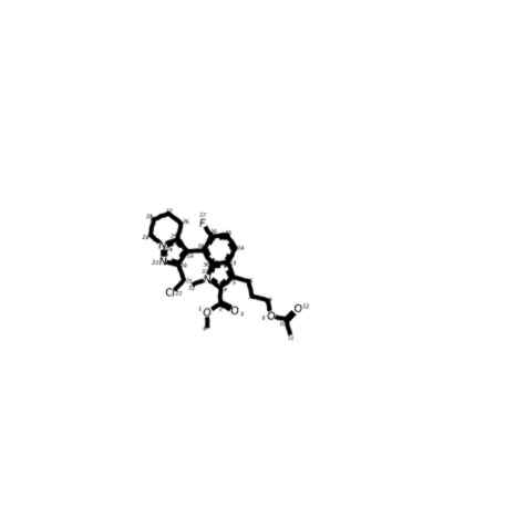 COC(=O)c1c(CCCOC(C)=O)c2ccc(F)c(-c3c(CCl)nn4c3CCCC4)c2n1C